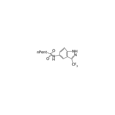 CCCCCS(=O)(=O)Nc1ccc2[nH]nc(C(F)(F)F)c2c1